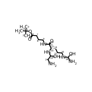 CC(C)(C)OC(=O)CCCNC(=O)[C@H](CCCNC(N)O)NC(O)CN